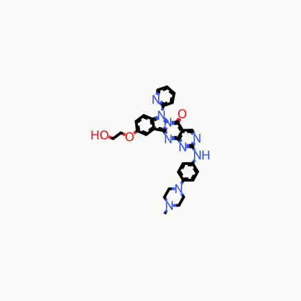 CN1CCN(c2ccc(Nc3ncc4c(=O)n5c(nc4n3)c3cc(OCCO)ccc3n5-c3ccccn3)cc2)CC1